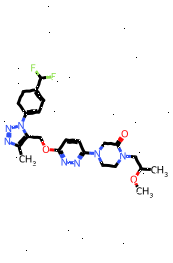 COC(C)CN1CCN(c2ccc(OCc3c(C)nnn3C3=CC=C(C(F)F)CC3)nn2)CC1=O